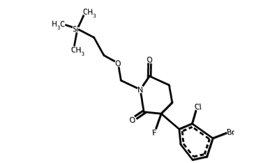 C[Si](C)(C)CCOCN1C(=O)CCC(F)(c2cccc(Br)c2Cl)C1=O